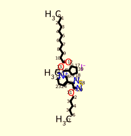 CCCCCCCCCCCC(=O)OC(C1CCCC1)[N+]1(C)CCC=C(c2nsnc2OCCCCCC)C1.[I-]